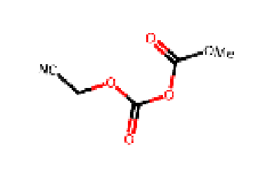 COC(=O)OC(=O)OCC#N